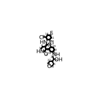 O=c1[nH]ccc2c(Nc3c(Cl)cc(F)cc3Cl)nc3ccc(NCC(O)C4CCOCC4)cc3c12